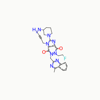 CC#CCn1c(N2CCCC(N)C2)nc2c(=O)n(CCF)n(Cc3nc(C)c4ccccc4n3)c(=O)c21